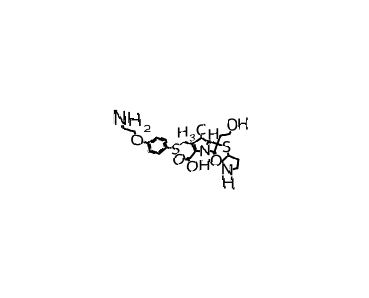 C[C@@H]1C(CSc2ccc(OCCN)cc2)=C(C(=O)O)N2C(=O)C(CCO)(SC3CCNC3)[C@H]12